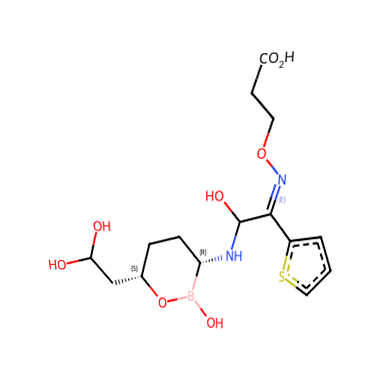 O=C(O)CCO/N=C(/c1cccs1)C(O)N[C@H]1CC[C@@H](CC(O)O)OB1O